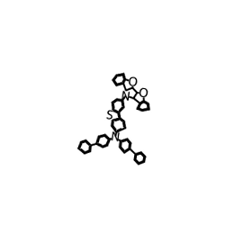 c1ccc(-c2ccc(N(c3ccc(-c4ccccc4)cc3)c3ccc4c(c3)sc3ccc(N5C6c7ccccc7OC6C6Oc7ccccc7C65)cc34)cc2)cc1